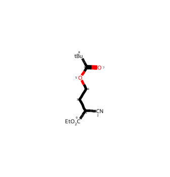 CCOC(=O)C(C#N)CCOC(=O)C(C)(C)C